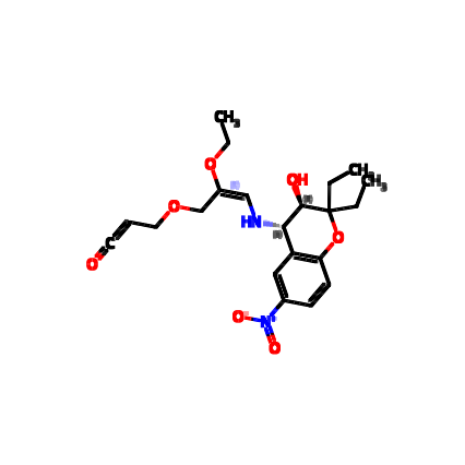 CCO/C(=C/N[C@H]1c2cc([N+](=O)[O-])ccc2OC(CC)(CC)[C@@H]1O)COCC=C=O